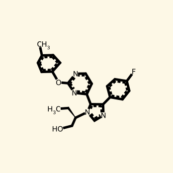 CC[C@H](CO)n1cnc(-c2ccc(F)cc2)c1-c1ccnc(Oc2ccc(C)cc2)n1